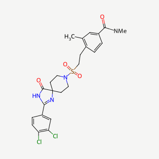 CNC(=O)c1ccc(CCS(=O)(=O)N2CCC3(CC2)N=C(c2ccc(Cl)c(Cl)c2)NC3=O)c(C)c1